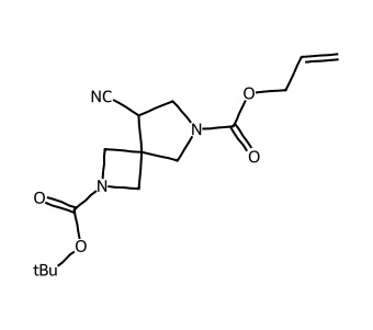 C=CCOC(=O)N1CC(C#N)C2(C1)CN(C(=O)OC(C)(C)C)C2